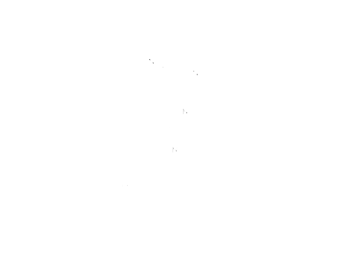 CCNc1nc(N2CC(O)CC2CO)ccc1N